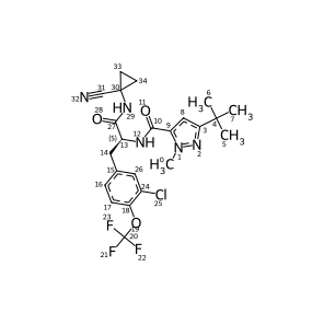 Cn1nc(C(C)(C)C)cc1C(=O)N[C@@H](Cc1ccc(OC(F)(F)F)c(Cl)c1)C(=O)NC1(C#N)CC1